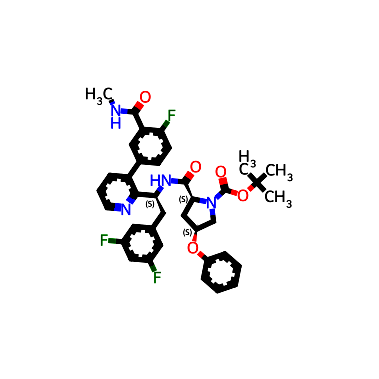 CNC(=O)c1cc(-c2cccnc2[C@H](Cc2cc(F)cc(F)c2)NC(=O)[C@@H]2C[C@H](Oc3ccccc3)CN2C(=O)OC(C)(C)C)ccc1F